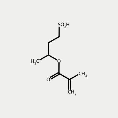 C=C(C)C(=O)OC(C)CCS(=O)(=O)O